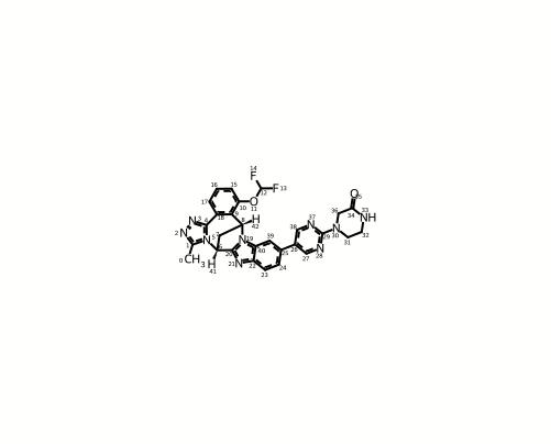 Cc1nnc2n1[C@@H]1C[C@H](c3c(OC(F)F)cccc3-2)n2c1nc1ccc(-c3cnc(N4CCNC(=O)C4)nc3)cc12